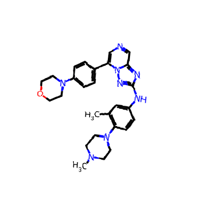 Cc1cc(Nc2nc3cncc(-c4ccc(N5CCOCC5)cc4)n3n2)ccc1N1CCN(C)CC1